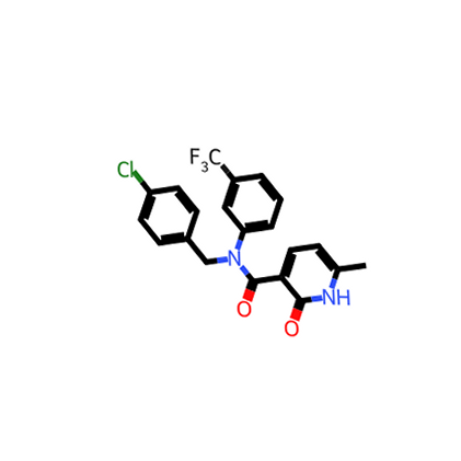 Cc1ccc(C(=O)N(Cc2ccc(Cl)cc2)c2cccc(C(F)(F)F)c2)c(=O)[nH]1